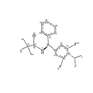 CC(C)c1c(F)cc([C@@H](N[S+]([O-])C(C)(C)C)c2ccccc2)cc1F